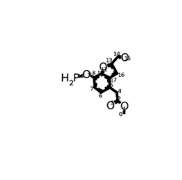 COC(=O)Cc1ccc(OP)c2oc(C=O)cc12